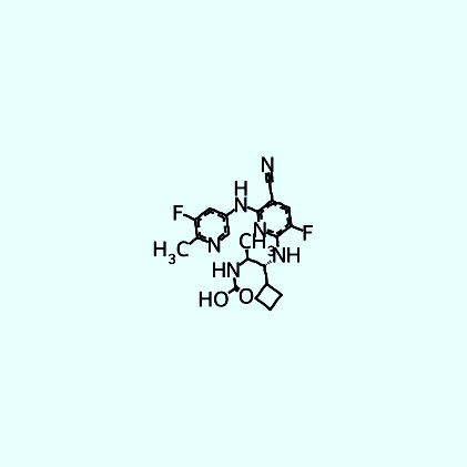 Cc1ncc(Nc2nc(N[C@H](C3CCC3)[C@H](C)NC(=O)O)c(F)cc2C#N)cc1F